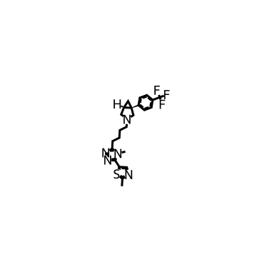 Cc1ncc(-c2nnc(CCCCN3C[C@@H]4C[C@]4(c4ccc(C(F)(F)F)cc4)C3)n2C)s1